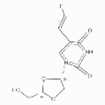 O=c1[nH]c(=O)n([C@@H]2CO[C@H](CO)O2)cc1/C=C/Cl